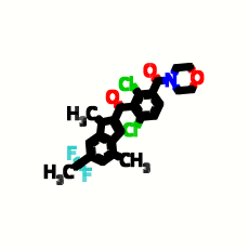 Cc1cc(C(C)(F)F)cc2c1C=C(C(=O)c1c(Cl)ccc(C(=O)N3CCOCC3)c1Cl)C2C